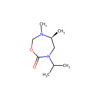 CC(C)N1C[C@H](C)N(C)COC1=O